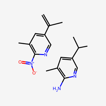 C=C(C)c1cnc([N+](=O)[O-])c(C)c1.Cc1cc(C(C)C)cnc1N